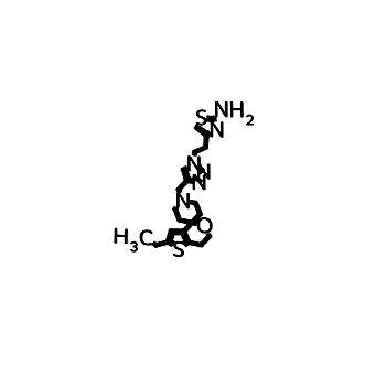 CCc1cc2c(s1)CCOC21CCN(Cc2cn(CCc3csc(N)n3)nn2)CC1